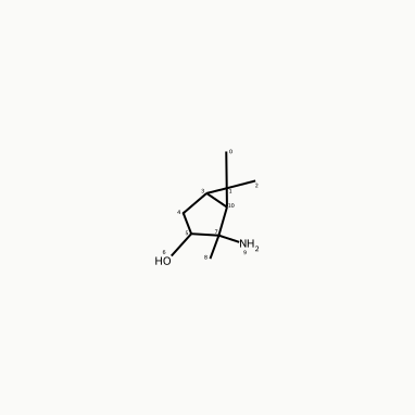 CC1(C)C2CC(O)C(C)(N)C21